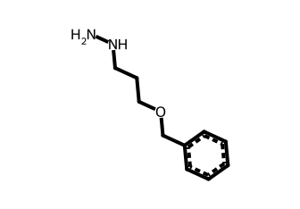 NNCCCOCc1ccccc1